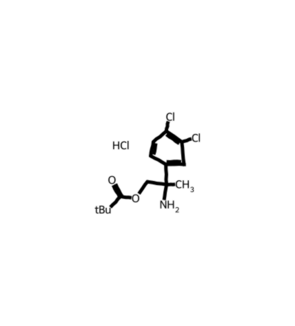 CC(C)(C)C(=O)OCC(C)(N)c1ccc(Cl)c(Cl)c1.Cl